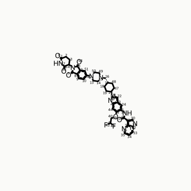 O=C1CCC(N2C(=O)c3ccc(N4CCN(C[C@H]5CC[C@H](n6cc7cc(NC(=O)c8cnn9cccnc89)c(OCC(F)F)cc7n6)CC5)CC4)cc3C2=O)C(=O)N1